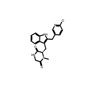 CN1C(=O)CNC(=O)[C@H]1Cc1c(Cc2ccc(Cl)nc2)[nH]c2ccccc12